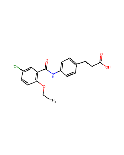 CCOc1ccc(Cl)cc1C(=O)Nc1ccc(CCC(=O)O)cc1